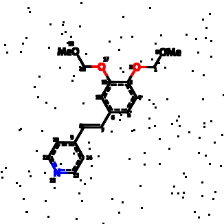 COCOc1ccc(C=Cc2ccncc2)cc1OCOC